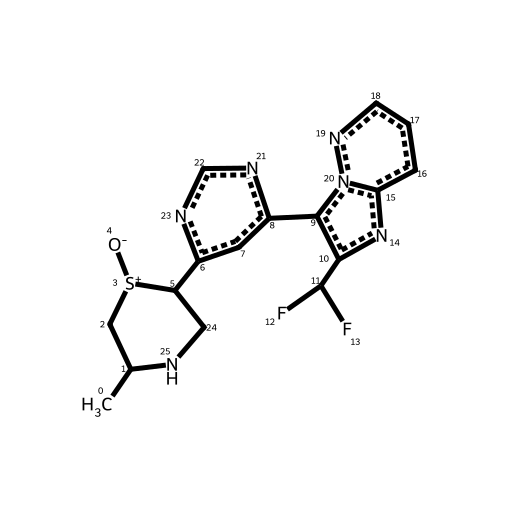 CC1C[S+]([O-])C(c2cc(-c3c(C(F)F)nc4cccnn34)ncn2)CN1